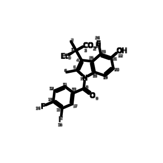 CC[C@@](C)(C(=O)O)c1c(C)n(C(=O)c2ccc(F)c(F)c2)c2ccc(O)c(F)c12